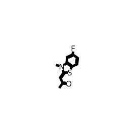 CC(=O)/C=C1\Sc2ccc(F)cc2N1C